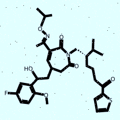 COc1ccc(F)cc1C(O)CC1C=C(/C(C)=N/OC(C)C)C(=O)N(C[C@@H](CCCC(=O)c2cccs2)C(C)C)C(=O)C1